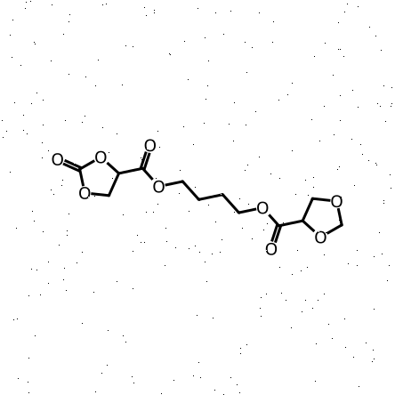 O=C1OCC(C(=O)OCCCCOC(=O)C2COCO2)O1